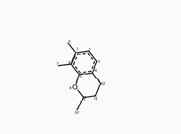 Cc1ccc2c(c1C)OC(C)CC2